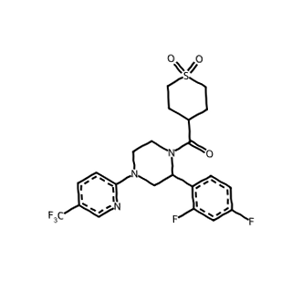 O=C(C1CCS(=O)(=O)CC1)N1CCN(c2ccc(C(F)(F)F)cn2)CC1c1ccc(F)cc1F